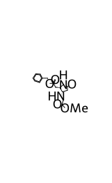 COC(=O)CN[C@H]1CC(=O)N[C@@H]1CC(=O)OCc1ccccc1